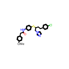 COc1ccc(CC(=O)Nc2ccc(SC(CCc3ccc(Cl)cc3)Cn3ccnc3)cc2)cc1